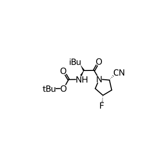 CC[C@H](C)[C@H](NC(=O)OC(C)(C)C)C(=O)N1C[C@@H](F)C[C@H]1C#N